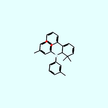 Cc1cccc(N(c2cccc(C)c2)C2C(c3ccccc3)=CC=CC2(C)C)c1